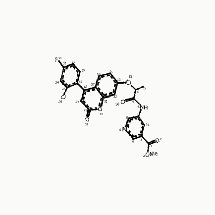 COC(=O)c1cncc(NC(=O)C(C)Oc2ccc3c(-c4ccc(F)cc4Cl)cc(=O)oc3c2)c1